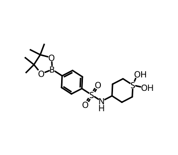 CC1(C)OB(c2ccc(S(=O)(=O)NC3CCS(O)(O)CC3)cc2)OC1(C)C